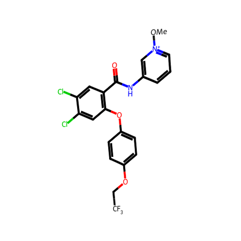 CO[n+]1cccc(NC(=O)c2cc(Cl)c(Cl)cc2Oc2ccc(OCC(F)(F)F)cc2)c1